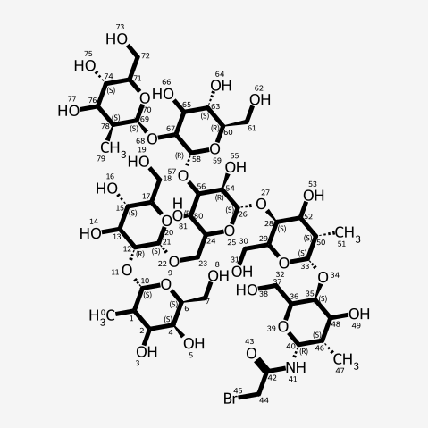 CC1C(O)[C@H](O)[C@H](CO)O[C@H]1O[C@@H]1C(O)[C@H](O)C(CO)O[C@@H]1OCC1O[C@@H](O[C@@H]2C(CO)O[C@@H](O[C@@H]3C(CO)O[C@@H](NC(=O)CBr)[C@@H](C)C3O)[C@@H](C)C2O)[C@H](O)C(O[C@H]2O[C@H](CO)[C@@H](O)C(O)C2O[C@@H]2OC(CO)[C@@H](O)C(O)[C@@H]2C)[C@@H]1O